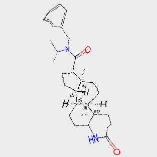 CC(C)N(Cc1ccccc1)C(=O)C1CC[C@H]2[C@@H]3CCC4NC(=O)CC[C@]4(C)[C@@H]3CC[C@]12C